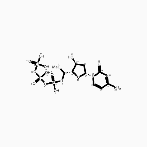 COC(OP(=O)(O)OP(=O)(O)OP(=O)(O)O)[C@H]1O[C@@H](n2ccc(N)nc2=O)C[C@@H]1O